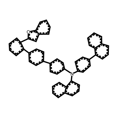 c1ccc(-c2cc3ccccc3o2)c(-c2ccc(-c3ccc(N(c4ccc(-c5cccc6ccccc56)cc4)c4cccc5ccccc45)cc3)cc2)c1